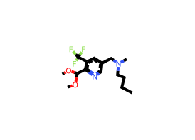 CCCCN(C)Cc1cnc(C(OC)OC)c(C(F)(F)F)c1